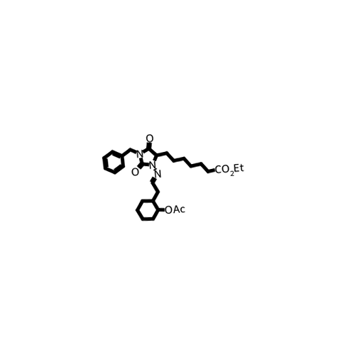 CCOC(=O)CCCCCCC1C(=O)N(Cc2ccccc2)C(=O)N1N=CCC1CCCCC1OC(C)=O